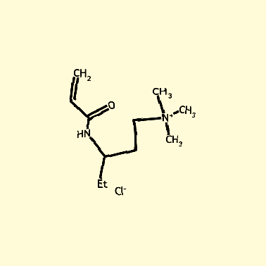 C=CC(=O)NC(CC)CC[N+](C)(C)C.[Cl-]